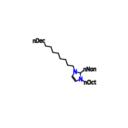 CCCCCCCCCCCCCCCCCCN1C=CN(CCCCCCCC)C1CCCCCCCCC